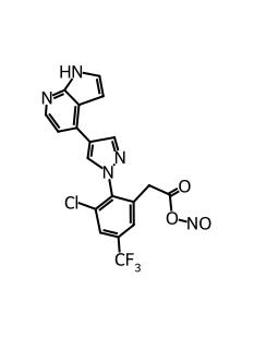 O=NOC(=O)Cc1cc(C(F)(F)F)cc(Cl)c1-n1cc(-c2ccnc3[nH]ccc23)cn1